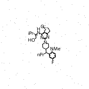 CCCC(c1cc(F)ccc1NC)C1CCN(c2nc3c(c(N[C@@H](CO)C(C)C)n2)[S+]([O-])CC3)CC1